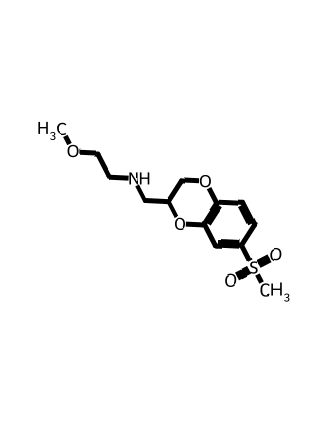 COCCNCC1COc2ccc(S(C)(=O)=O)cc2O1